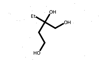 [CH2]CC(O)(CO)CCO